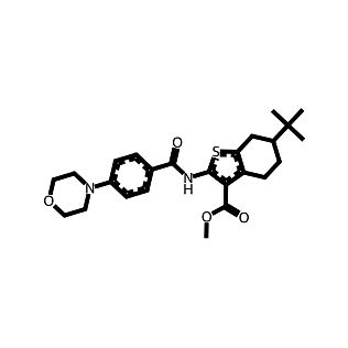 COC(=O)c1c(NC(=O)c2ccc(N3CCOCC3)cc2)sc2c1CCC(C(C)(C)C)C2